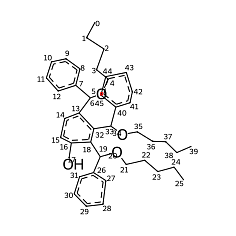 CCCCCOC(c1ccccc1)c1ccc(O)c(C(OCCCCC)c2ccccc2)c1C(OCCCCC)c1ccccc1